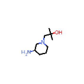 CC(C)(O)CN1CCC[C@@H](N)C1